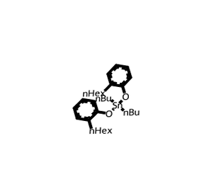 CCCCCCc1ccccc1[O][Sn]([CH2]CCC)([CH2]CCC)[O]c1ccccc1CCCCCC